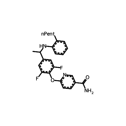 CCCCCc1ccccc1NC(C)c1cc(F)c(Oc2ccc(C(N)=O)cn2)c(F)c1